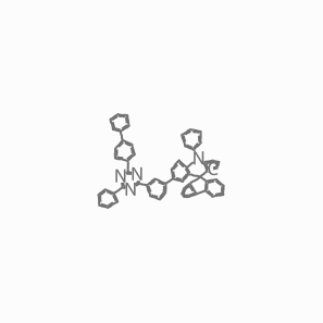 c1ccc(-c2ccc(-c3nc(-c4ccccc4)nc(-c4cccc(-c5ccc6c(c5)C5(c7ccccc7-c7ccccc75)c5ccccc5N6c5ccccc5)c4)n3)cc2)cc1